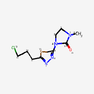 CN1CCN(c2nnc(CCCCl)s2)C1=O